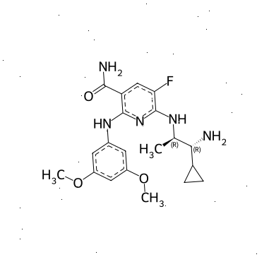 COc1cc(Nc2nc(N[C@H](C)[C@H](N)C3CC3)c(F)cc2C(N)=O)cc(OC)c1